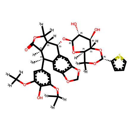 [2H]C([2H])([2H])Oc1cc([C@]2([2H])c3cc4c(cc3[C@@H](O[C@@H]3O[C@H]5[C@@H](O[C@H](c6cccs6)OC5([2H])[2H])[C@H](O)[C@H]3O)[C@@H]3[C@@H]2C(=O)OC3([2H])[2H])OCO4)cc(OC([2H])([2H])[2H])c1O